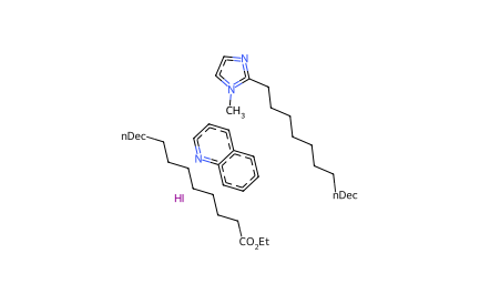 CCCCCCCCCCCCCCCCCC(=O)OCC.CCCCCCCCCCCCCCCCCc1nccn1C.I.c1ccc2ncccc2c1